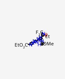 CCOC(=O)CCN1CCN(c2cnc(-c3nc4nc(-c5cc(OCC)nc(C(F)(F)F)c5)cc(N(C)CC5(COC)CCC5)c4[nH]3)cn2)C[C@H]1C